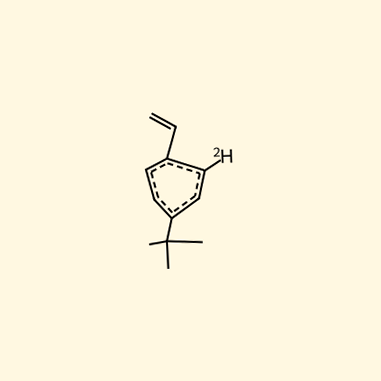 [2H]c1cc(C(C)(C)C)ccc1C=C